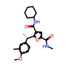 CNC(=O)c1cc(C(=O)NC2CCCCC2)c([C@@H](C)c2ccc(OC)c(C)c2)o1